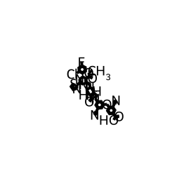 COC(=O)C1=C(CN2CCN3C(=O)N(c4cc(C#N)cc(Oc5ccc(C(=O)O)cc5C#N)c4)C[C@@H]3C2)NC(c2nccs2)=N[C@H]1c1ccc(F)cc1Cl